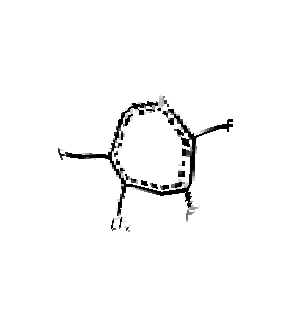 Fc1cnc(F)c(F)c1C(F)(F)F